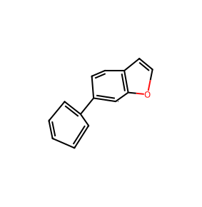 [c]1c(-c2ccccc2)ccc2ccoc12